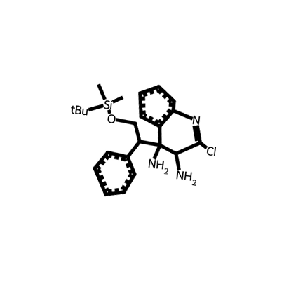 CC(C)(C)[Si](C)(C)OCC(c1ccccc1)C1(N)c2ccccc2N=C(Cl)C1N